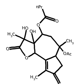 CCCC(=O)OC1CC(C)(OC(C)=O)C2CC(=O)C(C)=C2C2OC(=O)C(C)(O)C12O